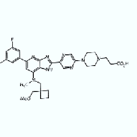 COCC1(CN(C)c2cc(-c3cc(F)cc(C(F)(F)F)c3)nc3nc(-c4cnc(N5CCN(CCC(=O)O)CC5)cn4)[nH]c23)CCC1